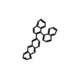 c1ccc2cc3cc(-c4ccc5ccccc5c4-c4cccc5ccccc45)ccc3cc2c1